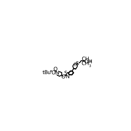 CC(C)(C)COC(=O)N1CCC(Oc2nc3ccc(C4=CCN(SCCC(C)(C)O)CC4)cc3s2)CC1